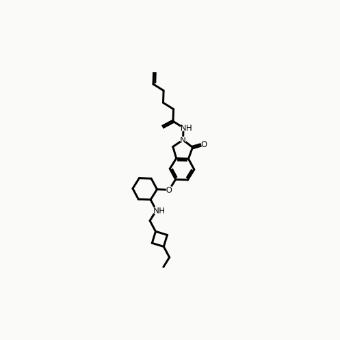 C=CCCCC(=C)NN1Cc2cc(OC3CCCCC3NCC3CC(CC)C3)ccc2C1=O